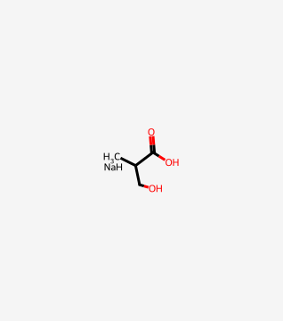 CC(CO)C(=O)O.[NaH]